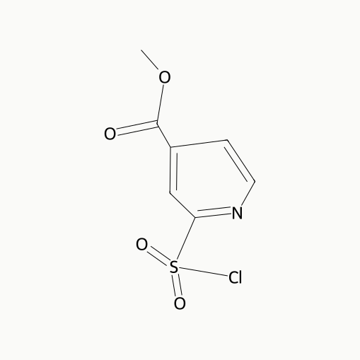 COC(=O)c1ccnc(S(=O)(=O)Cl)c1